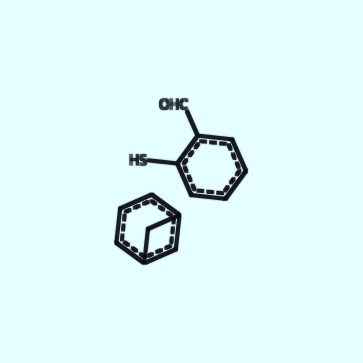 O=Cc1ccccc1S.c1cc2cc(c1)C2